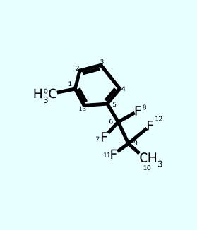 Cc1cccc(C(F)(F)C(C)(F)F)c1